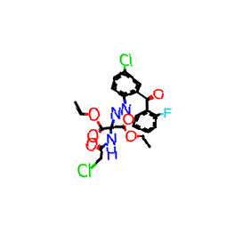 CCOC(=O)C(N=Nc1ccc(Cl)cc1C(=O)c1ccccc1F)(NC(=O)CCl)C(=O)OCC